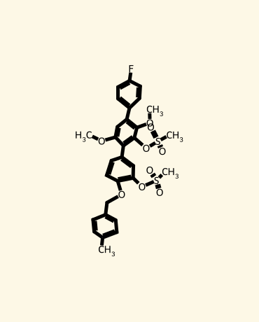 COc1cc(-c2ccc(F)cc2)c(OC)c(OS(C)(=O)=O)c1-c1ccc(OCc2ccc(C)cc2)c(OS(C)(=O)=O)c1